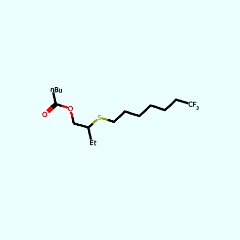 CCCCC(=O)OCC(CC)SCCCCCCC(F)(F)F